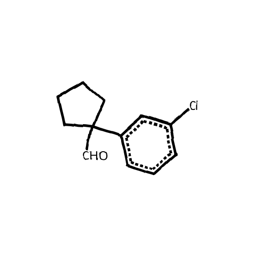 O=CC1(c2cccc(Cl)c2)CCCC1